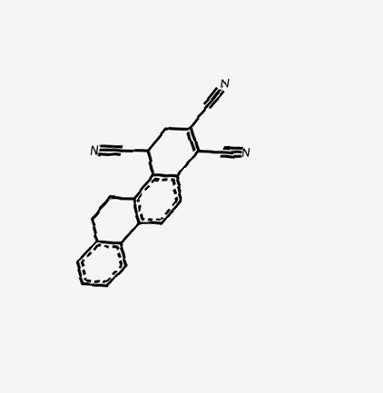 N#CC1=C(C#N)c2ccc3c(c2C(C#N)C1)CCc1ccccc1-3